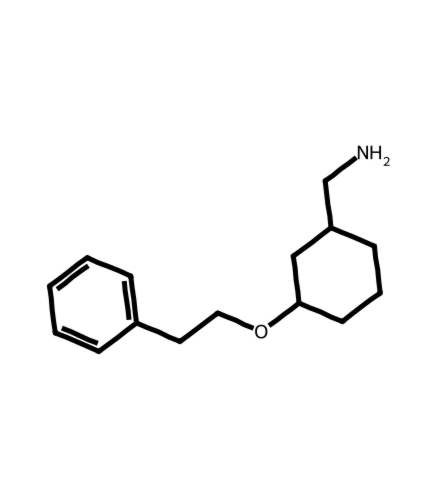 NCC1CCCC(OCCc2ccccc2)C1